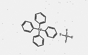 F[B-](F)(F)F.c1ccc([N+](c2ccccc2)(c2ccccc2)c2ccccc2)cc1